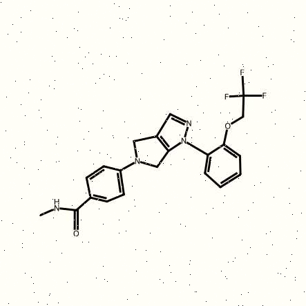 CNC(=O)c1ccc(N2Cc3cnn(-c4ccccc4OCC(F)(F)F)c3C2)cc1